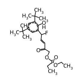 CCOP(=O)(CC)OCC(=O)C=CC(F)c1cc(C(C)(C)C)cc(C(C)(C)C)c1O